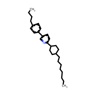 CCCCCCCCC1CCC(c2ccc(-c3ccc(CCCC)cc3)cn2)CC1